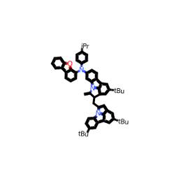 C=C1C(Cc2cc3cc(C(C)(C)C)cc4c5cc(C(C)(C)C)ccc5n2c34)c2cc(C(C)(C)C)cc3c4ccc(N(c5ccc(C(C)C)cc5)c5cccc6c5oc5ccccc56)cc4n1c23